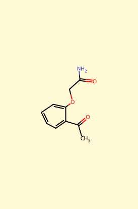 CC(=O)c1ccccc1OCC(N)=O